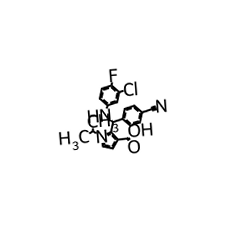 CC(C)n1ccc(C(=O)O)c1C(Nc1ccc(F)c(Cl)c1)c1ccc(C#N)cc1